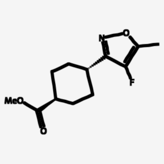 COC(=O)[C@H]1CC[C@H](c2noc(C)c2F)CC1